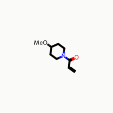 C=CC(=O)N1CCC(OC)CC1